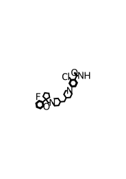 CNC(=O)c1ccc(N2CCC(CC3CCN(C(=O)C4(c5ccccc5F)CCCC4)CC3)CC2)cc1Cl